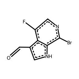 O=Cc1c[nH]c2c(Br)ncc(F)c12